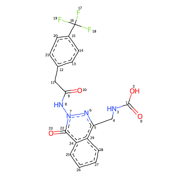 O=C(O)NCc1nn(NC(=O)Cc2ccc(C(F)(F)F)cc2)c(=O)c2ccccc12